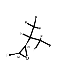 F[C@@H]1O[C@@H]1C(F)(C(F)(F)F)C(F)(F)F